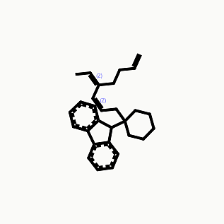 C=CCCC(/C=C\CC1(C2c3ccccc3-c3ccccc32)CCCCC1)=C/C